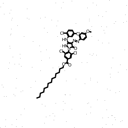 CCCCCCCCCCCCCCOC(=O)c1cc(Cl)c(-n2[nH]c(Nc3cc(Cl)ccc3Cl)c(N=Nc3ccc(OC)cc3)c2=O)c(Cl)c1